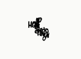 O=C(NCCNc1c2c(nc3ccccc13)CCCC2)c1cc(O)n(-c2ccccn2)n1